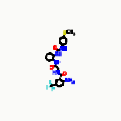 CSc1ccc(NC(=O)N[C@@H]2CCCC[C@@H]2NC(=O)CNC(=O)c2cc(C(F)(F)F)ccc2N)cc1